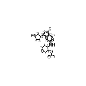 CC(=O)OC1COCCC1Nc1ncc2c(F)cc(C3CCC(F)C3)n2n1